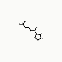 CC(C)CCCN(C)C1CCCC1